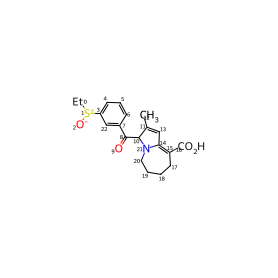 CC[S+]([O-])c1cccc(C(=O)C2C(C)=CC3=C(C(=O)O)CCCCN32)c1